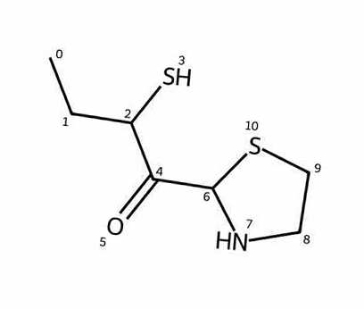 CCC(S)C(=O)C1NCCS1